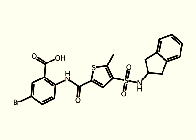 Cc1sc(C(=O)Nc2ccc(Br)cc2C(=O)O)cc1S(=O)(=O)NC1Cc2ccccc2C1